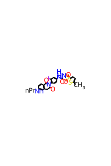 CCCNc1ccc2c(c1)CC(=O)N(c1ccc(NC(=O)NS(=O)(=O)c3ccc(C)s3)cc1I)C2=O